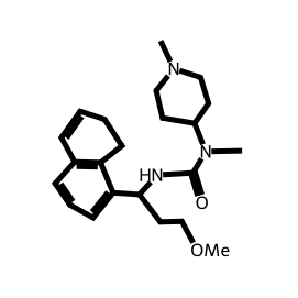 COCCC(NC(=O)N(C)C1CCN(C)CC1)c1cccc2c1CCC=C2